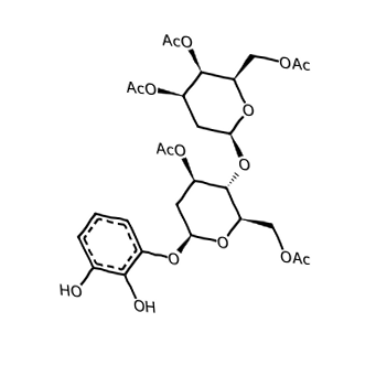 CC(=O)OC[C@H]1O[C@@H](O[C@H]2[C@H](OC(C)=O)C[C@H](Oc3cccc(O)c3O)O[C@@H]2COC(C)=O)C[C@@H](OC(C)=O)[C@H]1OC(C)=O